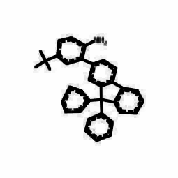 CC(C)(C)c1ccc(N)c(-c2ccc3c(c2)C(c2ccccc2)(c2ccccc2)c2ccccc2-3)c1